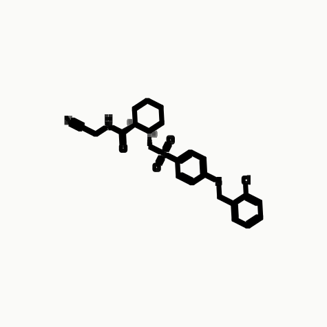 N#CCNC(=O)[C@H]1CCCC[C@@H]1CS(=O)(=O)c1ccc(SCc2ccccc2Cl)cc1